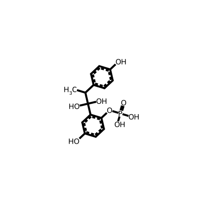 CC(c1ccc(O)cc1)C(O)(O)c1cc(O)ccc1OP(=O)(O)O